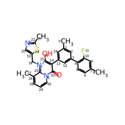 Cc1cc(-c2ccc(C)cc2F)cc(-c2c(O)[n+](Cc3cnc(C)s3)c3c(C)cccn3c2=O)c1